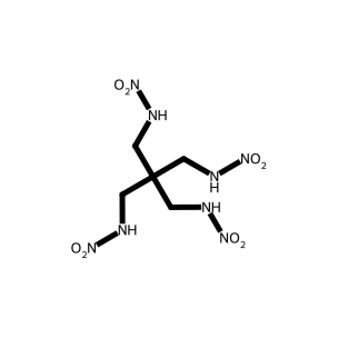 O=[N+]([O-])NCC(CN[N+](=O)[O-])(CN[N+](=O)[O-])CN[N+](=O)[O-]